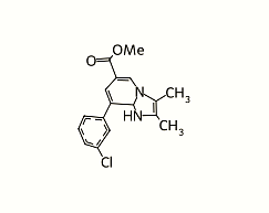 COC(=O)C1=CN2C(C)=C(C)NC2C(c2cccc(Cl)c2)=C1